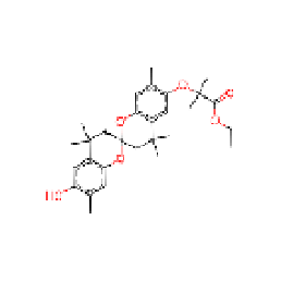 CCOC(=O)C(C)(C)Oc1cc2c(cc1C)O[C@]1(CC(C)(C)c3cc(O)c(C)cc3O1)CC2(C)C